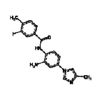 Cc1cn(-c2ccc(NC(=O)c3ccc(C)c(I)c3)c(N)c2)cn1